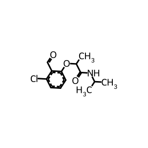 CC(C)NC(=O)C(C)Oc1cccc(Cl)c1C=O